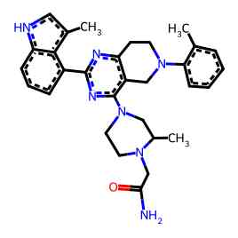 Cc1ccccc1N1CCc2nc(-c3cccc4[nH]cc(C)c34)nc(N3CCN(CC(N)=O)C(C)C3)c2C1